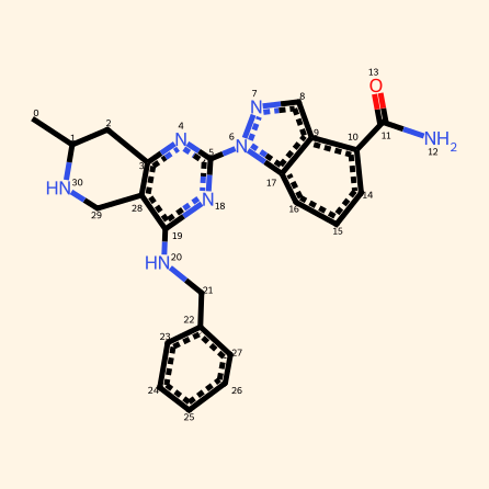 CC1Cc2nc(-n3ncc4c(C(N)=O)cccc43)nc(NCc3ccccc3)c2CN1